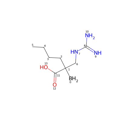 BC(CCCC)(CNC(=N)N)C(=O)O